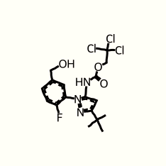 CC(C)(C)c1cc(NC(=O)OCC(Cl)(Cl)Cl)n(-c2cc(CO)ccc2F)n1